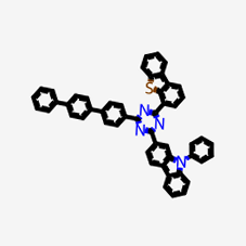 c1ccc(-c2ccc(-c3ccc(-c4nc(-c5ccc6c7ccccc7n(-c7ccccc7)c6c5)nc(-c5cccc6c5sc5ccccc56)n4)cc3)cc2)cc1